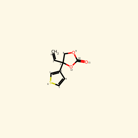 C=CC1(c2ccsc2)COC(=O)O1